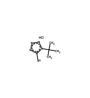 CC(C)(C)n1nnnc1S.Cl